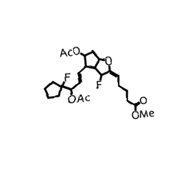 COC(=O)CCCC=C1OC2CC(OC(C)=O)C(C=CC(OC(C)=O)C3(F)CCCC3)C2C1F